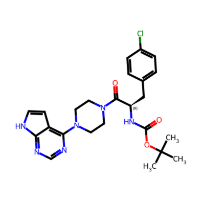 CC(C)(C)OC(=O)N[C@H](Cc1ccc(Cl)cc1)C(=O)N1CCN(c2ncnc3[nH]ccc23)CC1